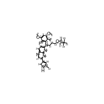 COc1cc(OC)c(F)c(N(CCCO[Si](C)(C)C(C)(C)C)c2ccc3ncc(C4=CN(C)NC4)nc3n2)c1F